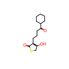 O=C1SCC(O)=C1CCCC(=O)C1CCCCC1